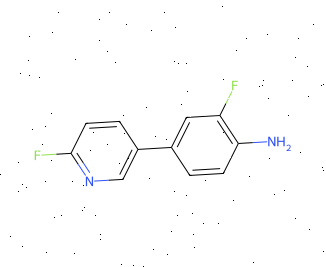 Nc1ccc(-c2ccc(F)nc2)cc1F